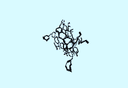 C=CCN(CC=C)[C@@H]1c2onc(OCc3ccccc3)c2C(=O)C2(O[Si](C)(C)C(C)(C)C)C(O)=C3C(=O)c4c(OCc5ccccc5)cc(CN(C)C)c(OC(F)(F)F)c4C[C@H]3C[C@@H]12